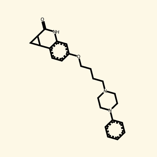 O=C1Nc2cc(OCCCCN3CCN(c4ccccc4)CC3)ccc2C2CC12